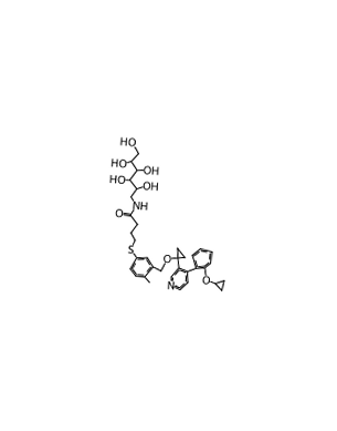 Cc1ccc(SCCCC(=O)NCC(O)C(O)C(O)C(O)CO)cc1COC1(c2cnccc2-c2ccccc2OC2CC2)CC1